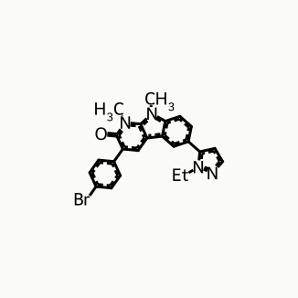 CCn1nccc1-c1ccc2c(c1)c1cc(-c3ccc(Br)cc3)c(=O)n(C)c1n2C